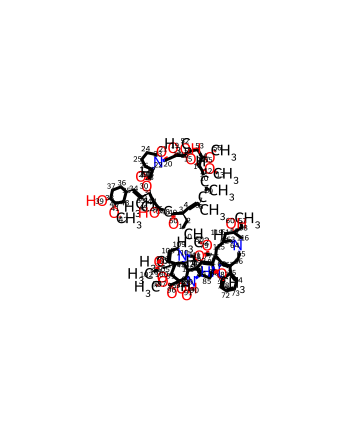 C=CC[C@@H]1/C=C(\C)C[C@H](C)C[C@H](OC)[C@H]2O[C@@](O)(C(=O)C(=O)N3CCCC[C@H]3C(=O)O[C@H](/C(C)=C/[C@@H]3CC[C@@H](O)[C@H](OC)C3)[C@H](C)[C@@H](O)CC1=O)[C@H](C)C[C@@H]2OC.CC[C@]1(O)C[C@H]2C[N@](CCc3c([nH]c4ccccc34)[C@@](C(=O)OC)(c3cc4c(cc3OC)N(C=O)[C@H]3[C@@](O)(C(=O)OC)[C@H](OC(C)=O)[C@]5(CC)C=CCN6CC[C@]43[C@@H]65)C2)C1